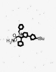 CC(C)(C)c1ccc(-c2ccc3c(c2)c(-c2ccccc2)c(C(=O)ON)n3Cc2ccccc2)cc1